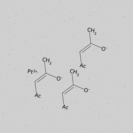 CC(=O)/C=C(/C)[O-].CC(=O)/C=C(/C)[O-].CC(=O)/C=C(/C)[O-].[Pt+3]